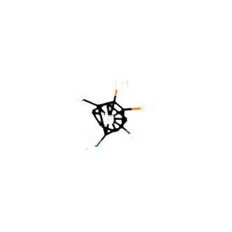 P[C]12[C]3(P)[C]4([Pd])[C]5(Cl)[C]1(Cl)[Fe]23541678[CH]2[CH]1[CH]6[CH]7[CH]28